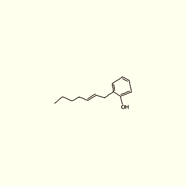 CCCCC=CCc1ccccc1O